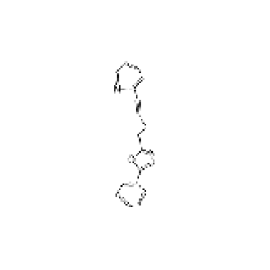 C(#Cc1ccccn1)CCc1ncc(-c2ccccc2)o1